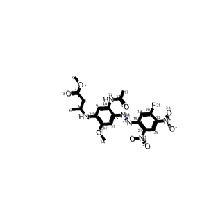 COC(=O)CC(C)Nc1cc(NC(C)=O)c(/N=N/c2cc(F)c([N+](=O)[O-])cc2[N+](=O)[O-])cc1OC